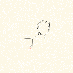 CC([C]=O)c1ccccc1F